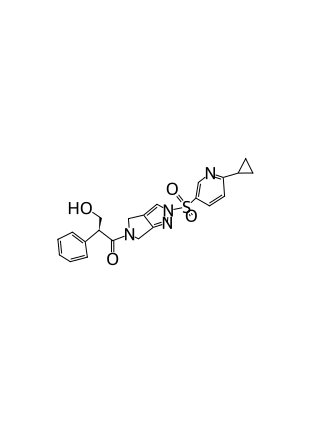 O=C([C@H](CO)c1ccccc1)N1Cc2cn(S(=O)(=O)c3ccc(C4CC4)nc3)nc2C1